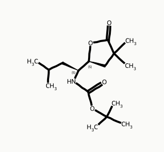 CC(C)C[C@H](NC(=O)OC(C)(C)C)[C@@H]1CC(C)(C)C(=O)O1